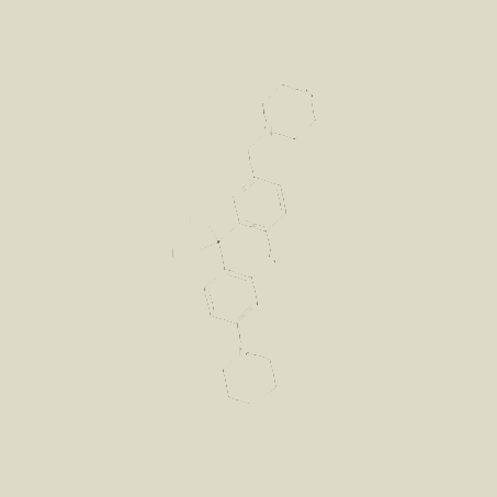 CC1(C)c2ccc(N3CCSCC3)cc2Nc2ccc(CN3CCNCC3)cc21